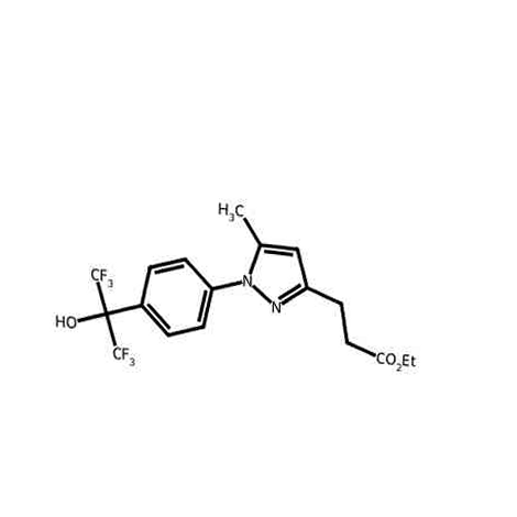 CCOC(=O)CCc1cc(C)n(-c2ccc(C(O)(C(F)(F)F)C(F)(F)F)cc2)n1